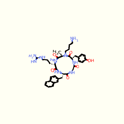 C[C@@H]1C(=O)N[C@@H](CCCNC(=N)N)C(=O)N[C@@H](Cc2ccc3ccccc3c2)C(=O)NCC(=O)N[C@H](Cc2ccc(O)cc2)C(=O)N1CCCCN